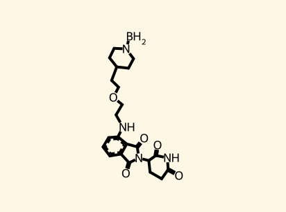 BN1CCC(CCOCCNc2cccc3c2C(=O)N(C2CCC(=O)NC2=O)C3=O)CC1